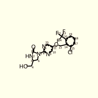 O=C1NC(CO)CN1c1ncc(OCc2c(Cl)cccc2C(F)(F)F)cn1